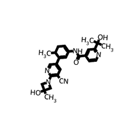 CC1CC=C(NC(=O)c2ccnc(C(C)(C)O)c2)C=C1c1cnc(N2CC(C)(O)C2)c(C#N)c1